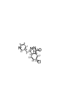 O=c1[nH]nc(Cc2cccnc2)c2ccc(Cl)cc12